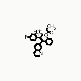 C=CC(=O)Oc1ccccc1/C(=C(\CC)c1ccc(F)cc1Cl)c1ccc2cccnc2c1